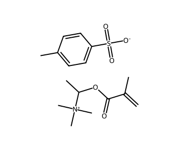 C=C(C)C(=O)OC(C)[N+](C)(C)C.Cc1ccc(S(=O)(=O)[O-])cc1